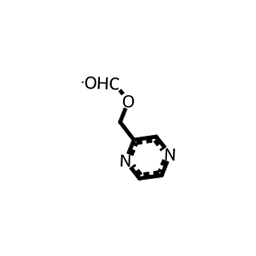 O=[C]OCc1cnccn1